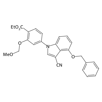 CCOC(=O)c1ccc(-n2cc(C#N)c3c(OCc4ccccc4)cccc32)cc1OCOC